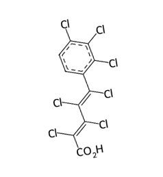 O=C(O)C(Cl)=C(Cl)C(Cl)=C(Cl)c1ccc(Cl)c(Cl)c1Cl